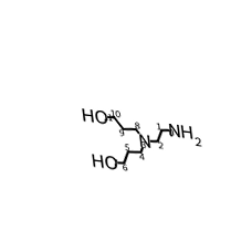 NCCN(CCCO)CCCO